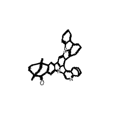 CC12CCC(C)(CC1)c1cc3c4cc5c(c6cccc7c8ccccc8n5c76)c5c6c7c(ncc6n(c3cc1C2=O)c45)C1CCC7CC1